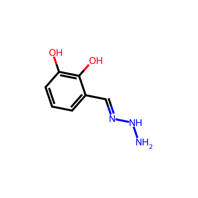 NNN=Cc1cccc(O)c1O